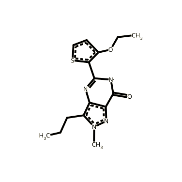 CCCc1c2c(nn1C)C(=O)[N]C(c1sccc1OCC)=N2